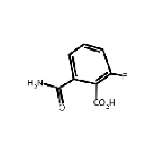 NC(=O)c1cccc(F)c1C(=O)O